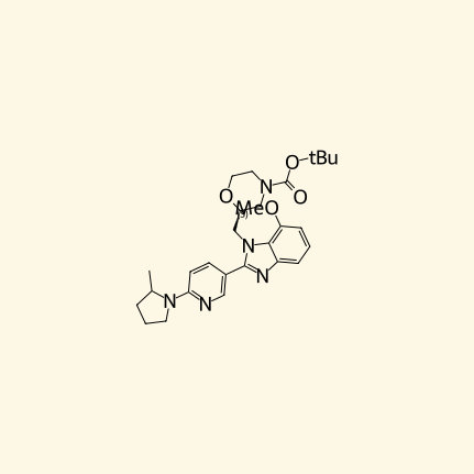 COc1cccc2nc(-c3ccc(N4CCCC4C)nc3)n(C[C@@H]3CN(C(=O)OC(C)(C)C)CCO3)c12